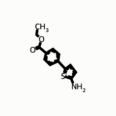 CCOC(=O)c1ccc(-c2ccc(N)s2)cc1